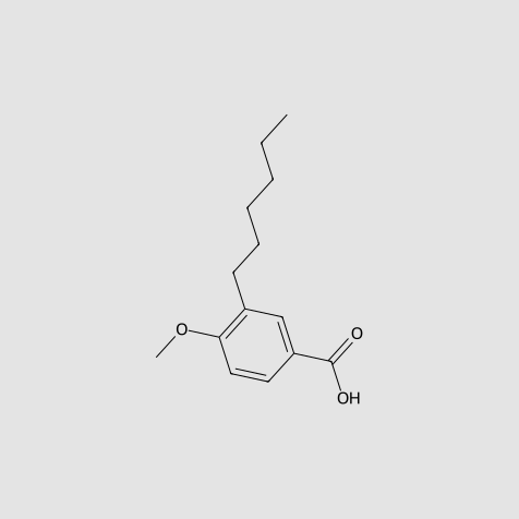 CCCCCCc1cc(C(=O)O)ccc1OC